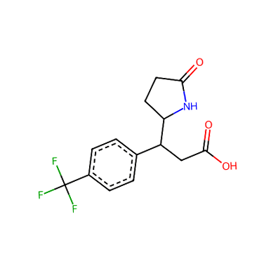 O=C(O)CC(c1ccc(C(F)(F)F)cc1)C1CCC(=O)N1